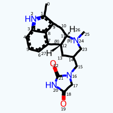 Cc1[nH]c2cccc3c2c1C[C@@H]1[C@@H]3CC(CN2CC(=O)NC2=O)CN1C